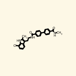 CNC(=O)c1ccc(-c2ccc(C(=O)NCCc3c(C)[nH]c4c(Cl)cccc34)cc2)cc1